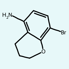 Nc1ccc(Br)c2c1CCCO2